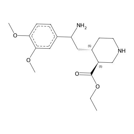 CCOC(=O)[C@@H]1CNCC[C@H]1CC(N)c1ccc(OC)c(OC)c1